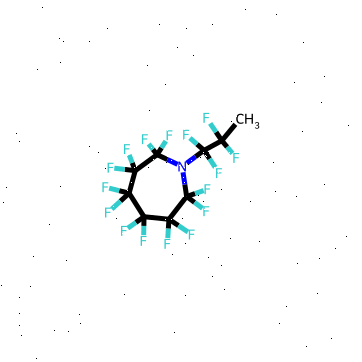 CC(F)(F)C(F)(F)N1C(F)(F)C(F)(F)C(F)(F)C(F)(F)C(F)(F)C1(F)F